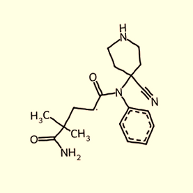 CC(C)(C[CH]C(=O)N(c1ccccc1)C1(C#N)CCNCC1)C(N)=O